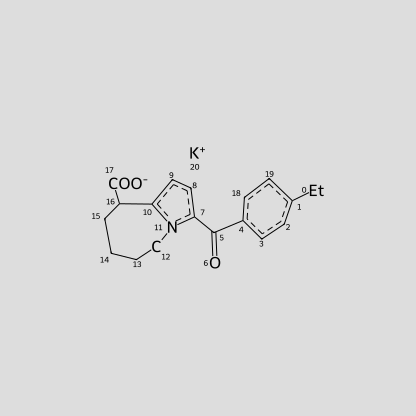 CCc1ccc(C(=O)c2ccc3n2CCCCC3C(=O)[O-])cc1.[K+]